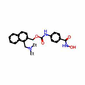 CCN(CC)Cc1c(COC(=O)Nc2ccc(C(=O)NO)cc2)ccc2ccccc12